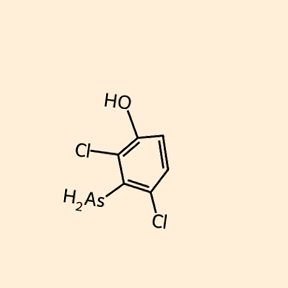 Oc1ccc(Cl)c([AsH2])c1Cl